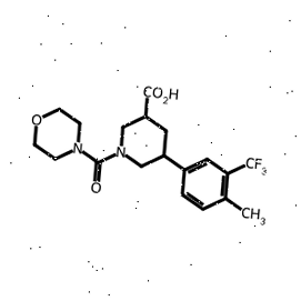 Cc1ccc(C2CC(C(=O)O)CN(C(=O)N3CCOCC3)C2)cc1C(F)(F)F